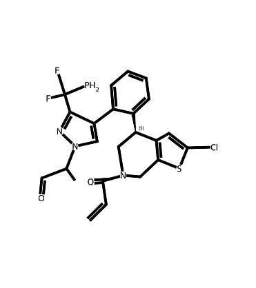 C=CC(=O)N1Cc2sc(Cl)cc2[C@H](c2ccccc2-c2cn(C(C)C=O)nc2C(F)(F)P)C1